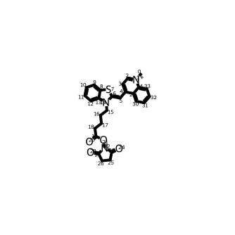 C[n+]1ccc(/C=C2\Sc3ccccc3N2CCCCC(=O)ON2C(=O)CCC2=O)c2ccccc21